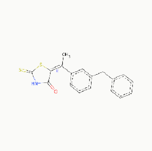 C/C(=C1\SC(=S)NC1=O)c1cccc(Cc2ccccc2)c1